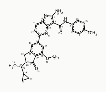 Cc1ccc(NC(=O)c2c(N)nn3ccc(-c4cc5c(c(OC(F)(F)F)c4)C(=O)N([C@@H](C)C4CC4)C5)nc23)cn1